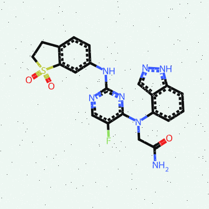 NC(=O)CN(c1nc(Nc2ccc3c(c2)S(=O)(=O)CC3)ncc1F)c1cccc2[nH]ncc12